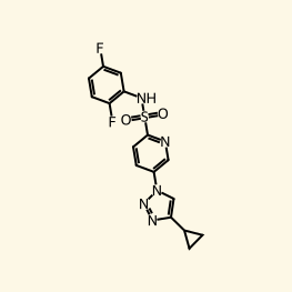 O=S(=O)(Nc1cc(F)ccc1F)c1ccc(-n2cc(C3CC3)nn2)cn1